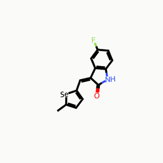 Cc1ccc(C=C2C(=O)Nc3ccc(F)cc32)[se]1